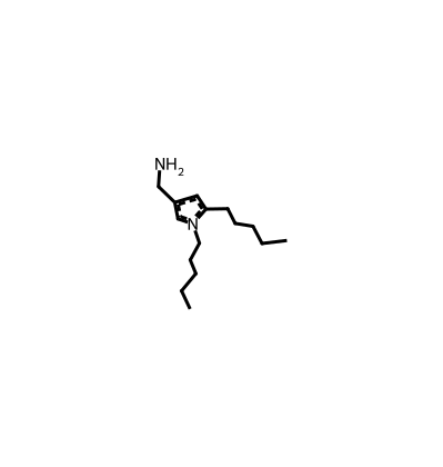 CCCCCc1cc(CN)cn1CCCCC